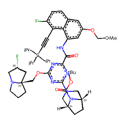 COCOc1cc(NC(=O)c2nc(OC[C@@]34CCCN3C[C@H](F)C4)nc(N3C[C@H]4CC[C@@H](C3)N4C(=O)OC(C)(C)C)n2)c2c(C#C[Si](C(C)C)(C(C)C)C(C)C)c(F)ccc2c1